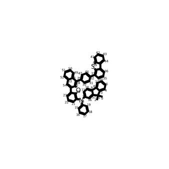 CC1(C)c2ccccc2-c2ccc(N(c3ccccc3)c3cccc4c3oc3c(-c5ccc(-c6cccc7c6sc6ccccc67)cc5)c5ccccc5cc34)cc21